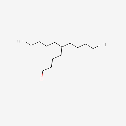 CCCCCC(CCCCC)CCCC[O]